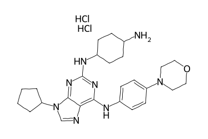 Cl.Cl.NC1CCC(Nc2nc(Nc3ccc(N4CCOCC4)cc3)c3ncn(C4CCCC4)c3n2)CC1